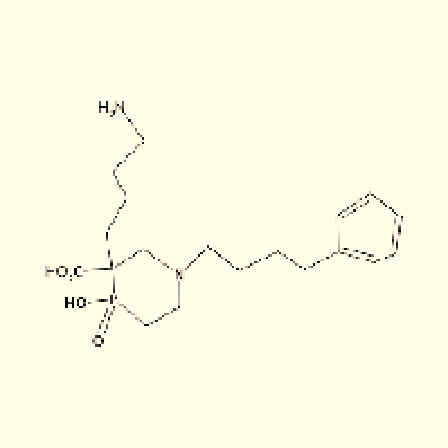 NCCCCC1(C(=O)O)CN(CCCCc2ccccc2)CCP1(=O)O